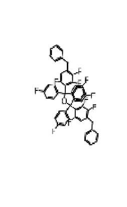 Fc1ccc(C(OC(c2ccc(F)cc2)(c2ccc(F)cc2)c2c(F)cc(Cc3ccccc3)c(F)c2F)(c2ccc(F)cc2)c2c(F)cc(Cc3ccccc3)c(F)c2F)cc1